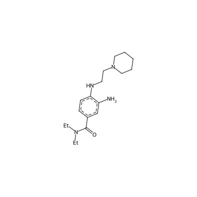 CCN(CC)C(=O)c1ccc(NCCN2CCCCC2)c(N)c1